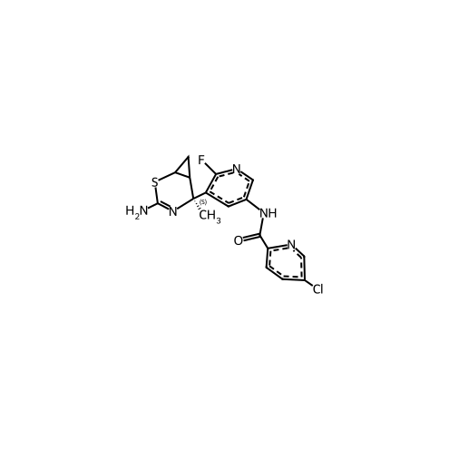 C[C@]1(c2cc(NC(=O)c3ccc(Cl)cn3)cnc2F)N=C(N)SC2CC21